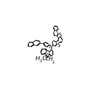 C[Si]1(C)c2ccccc2-c2c(N(c3ccc(-c4ccc5ccccc5c4)cc3)c3ccc4c(c3)sc3ccc5sc6c7ccccc7ccc6c5c34)cccc21